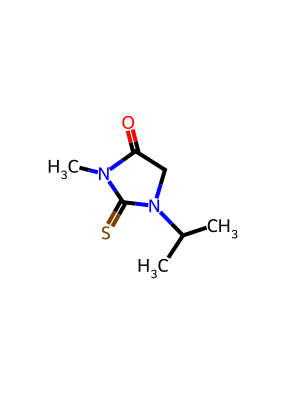 CC(C)N1CC(=O)N(C)C1=S